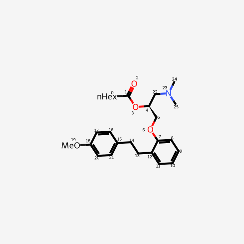 CCCCCCC(=O)O[C@H](COc1ccccc1CCc1ccc(OC)cc1)CN(C)C